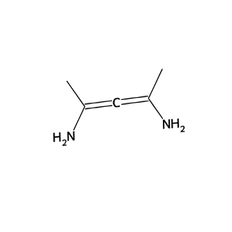 CC(N)=C=C(C)N